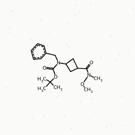 CON(C)C(=O)C1CC(N(Cc2ccccc2)C(=O)OC(C)(C)C)C1